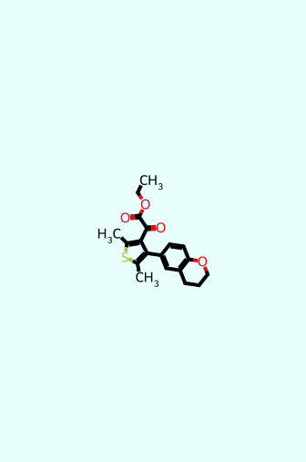 CCOC(=O)C(=O)c1c(C)sc(C)c1-c1ccc2c(c1)CCCO2